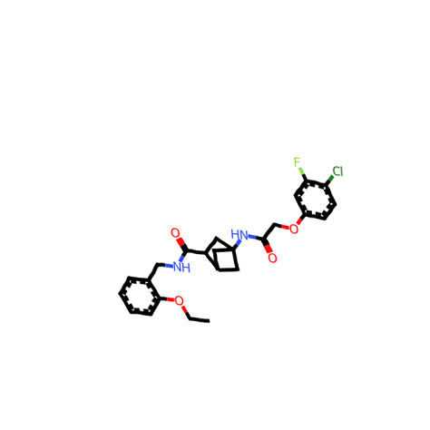 CCOc1ccccc1CNC(=O)C1CC2(NC(=O)COc3ccc(Cl)c(F)c3)CC1C2